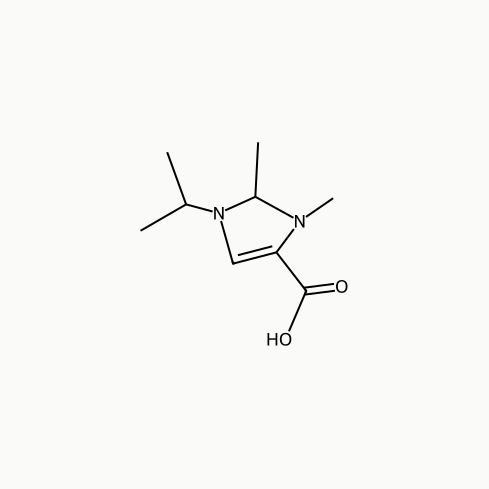 CC(C)N1C=C(C(=O)O)N(C)C1C